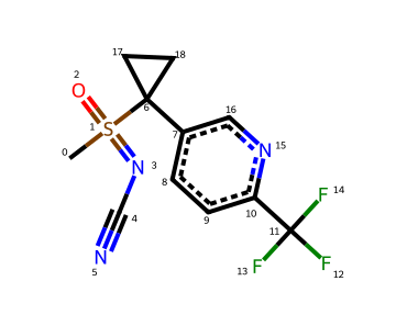 CS(=O)(=NC#N)C1(c2ccc(C(F)(F)F)nc2)CC1